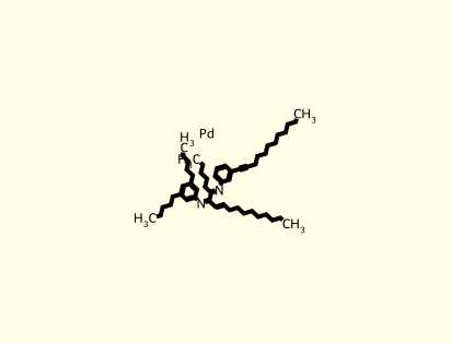 CCCCCCCCC/C=C/C(=N/c1cc(CCCCC)cc(CCCCC)c1)C(/CCCCC)=N/c1cccc(C#CCCCCCCCCCC)c1.[Pd]